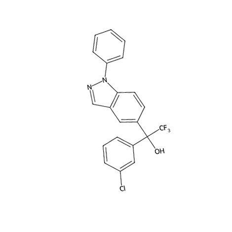 OC(c1cccc(Cl)c1)(c1ccc2c(cnn2-c2ccccc2)c1)C(F)(F)F